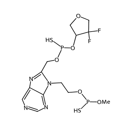 COP(S)OCCn1c(COP(S)OC2COCC2(F)F)nc2cncnc21